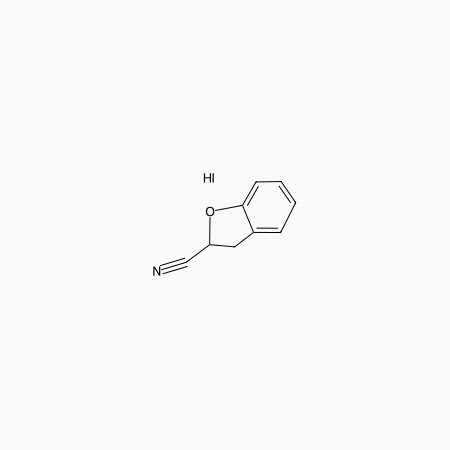 I.N#CC1Cc2ccccc2O1